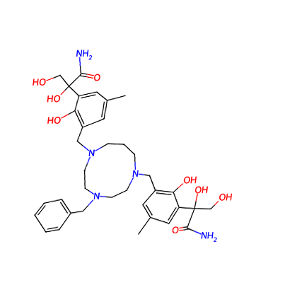 Cc1cc(CN2CCCN(Cc3cc(C)cc(C(O)(CO)C(N)=O)c3O)CCN(Cc3ccccc3)CC2)c(O)c(C(O)(CO)C(N)=O)c1